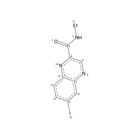 CCNC(=O)c1cnc2cc(I)ccc2n1